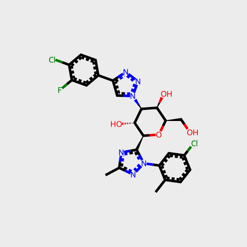 Cc1nc([C@@H]2O[C@H](CO)[C@H](O)[C@H](n3cc(-c4ccc(Cl)c(F)c4)nn3)[C@H]2O)n(-c2cc(Cl)ccc2C)n1